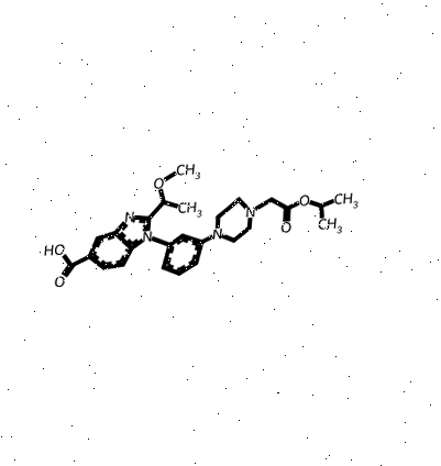 COC(C)c1nc2cc(C(=O)O)ccc2n1-c1cccc(N2CCN(CC(=O)OC(C)C)CC2)c1